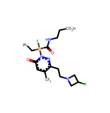 CC(C)CS(F)(C(=O)NCCC(=O)O)n1nc(CCN2CC(F)C2)c(C(F)(F)F)cc1=O